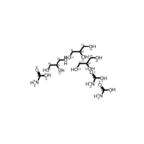 NC(=O)O.NC(=O)O.NC(=O)O.OCC(O)CO.OCC(O)CO.OCC(O)CO